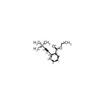 CCOC(=O)c1cccnc1C#C[Si](C)(C)C